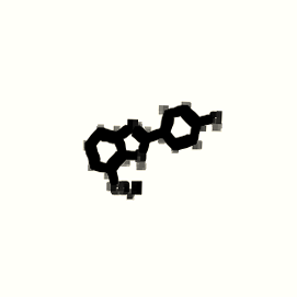 O=C(O)c1cccc2nc(-c3ccc(Cl)cc3)oc12